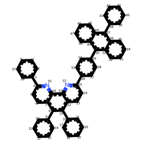 c1ccc(-c2ccc3c(-c4ccccc4)c(-c4ccccc4)c4ccc(-c5ccc(-c6c7ccccc7c(-c7ccccc7)c7ccccc67)cc5)nc4c3n2)cc1